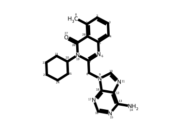 Cc1cccc2nc(Cn3cnc4c(N)ncnc43)n(C3CCCCC3)c(=O)c12